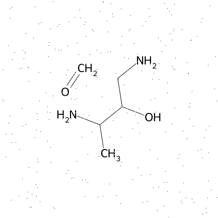 C=O.CC(N)C(O)CN